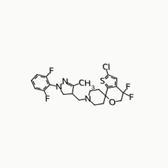 CC1=NN(c2c(F)cccc2F)CC1CN1CCC2(CC1)OCC(F)(F)c1cc(Cl)sc12